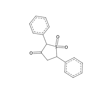 O=C1CC(c2ccccc2)S(=O)(=O)C1c1ccccc1